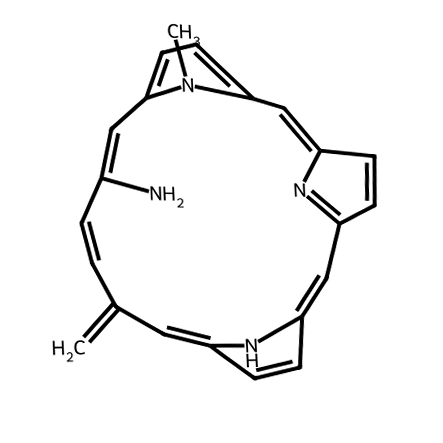 C=C1/C=C\C(N)=C\c2ccc(n2C)/C=C2/C=CC(=N2)/C=c2/cc/c([nH]2)=C/1